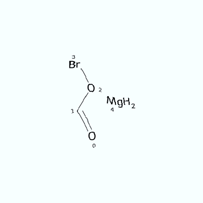 O=COBr.[MgH2]